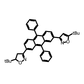 CC(C)(C)c1cc(-c2ccc3c(-c4ccccc4)c4ccc(C5=NOC(C(C)(C)C)C5)cc4c(-c4ccccc4)c3c2)no1